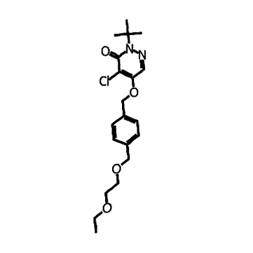 CCOCCOCc1ccc(COc2cnn(C(C)(C)C)c(=O)c2Cl)cc1